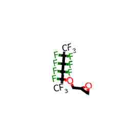 FC(F)(F)C(F)(F)C(F)(F)C(F)(F)C(F)(OCC1CO1)C(F)(F)F